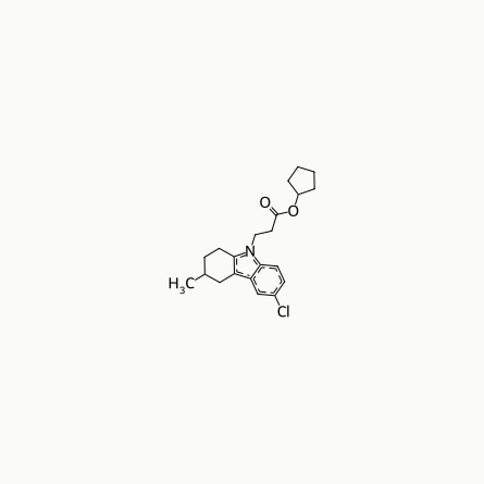 CC1CCc2c(c3cc(Cl)ccc3n2CCC(=O)OC2CCCC2)C1